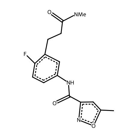 CNC(=O)CCc1cc(NC(=O)c2cc(C)on2)ccc1F